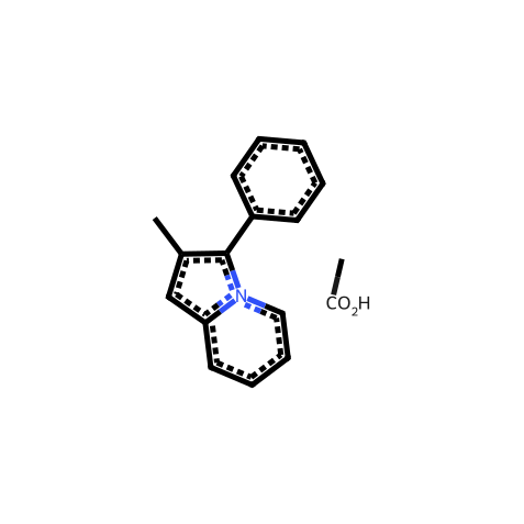 CC(=O)O.Cc1cc2ccccn2c1-c1ccccc1